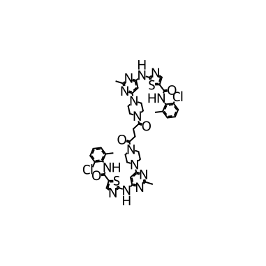 Cc1nc(Nc2ncc(C(=O)Nc3c(C)cccc3Cl)s2)cc(N2CCN(C(=O)CCC(=O)N3CCN(c4cc(Nc5ncc(C(=O)Nc6c(C)cccc6Cl)s5)nc(C)n4)CC3)CC2)n1